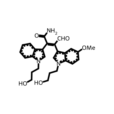 COc1ccc2c(c1)c(/C(C=O)=C(/C(N)=O)c1cn(CCCO)c3ccccc13)cn2CCCO